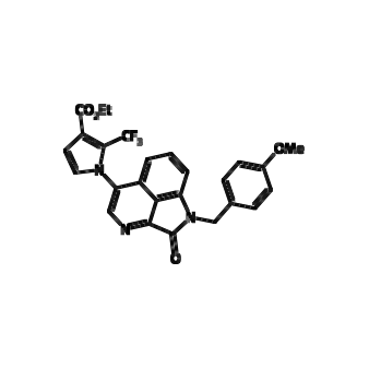 CCOC(=O)c1ccn(-c2cnc3c4c(cccc24)N(Cc2ccc(OC)cc2)C3=O)c1C(F)(F)F